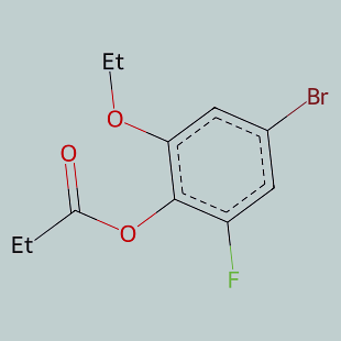 CCOc1cc(Br)cc(F)c1OC(=O)CC